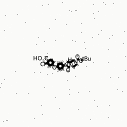 CC(C)(C)OC(=O)N1CCN2C(=O)N(c3ccc(Oc4ccc(C(=O)O)c(Cl)c4)cc3)C[C@@H]2C1